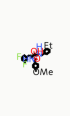 CCc1cccc(CNC[C@H](O)[C@H](Cc2cc(F)cc(F)c2)NC(=O)c2ccc(OC)cc2)c1